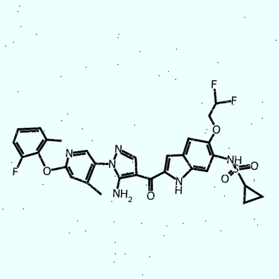 Cc1cc(Oc2c(C)cccc2F)ncc1-n1ncc(C(=O)c2cc3cc(OCC(F)F)c(NS(=O)(=O)C4CC4)cc3[nH]2)c1N